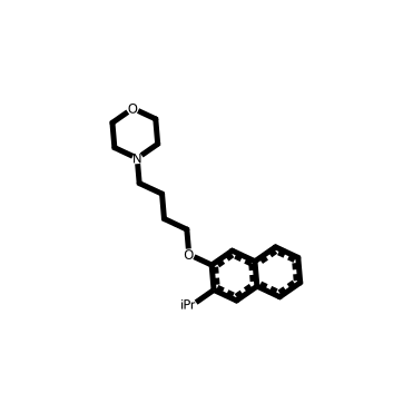 CC(C)c1cc2ccccc2cc1OCCCCN1CCOCC1